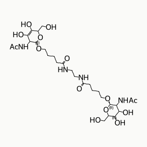 CC(=O)NC1C(O)=C(O)C(CO)O[C@H]1OCCCCC(=O)NCCNC(=O)CCCCO[C@@H]1OC(CO)[C@H](O)C(O)C1NC(C)=O